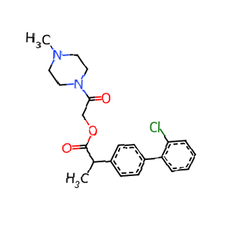 CC(C(=O)OCC(=O)N1CCN(C)CC1)c1ccc(-c2ccccc2Cl)cc1